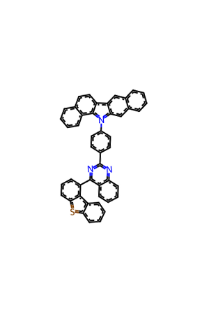 c1ccc2cc3c(cc2c1)c1ccc2ccccc2c1n3-c1ccc(-c2nc(-c3cccc4sc5ccccc5c34)c3ccccc3n2)cc1